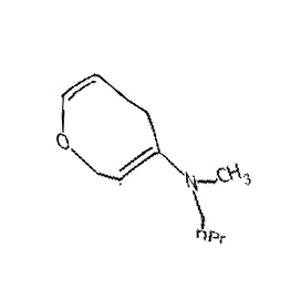 CCCN(C)C1=[C]OC=CC1